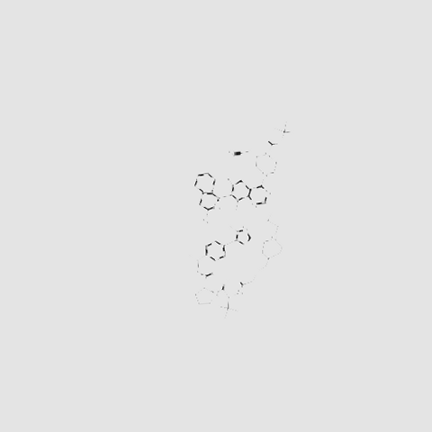 Cc1ncsc1-c1ccc([C@H](C)NC(=O)[C@@H]2C[C@@H](O)CN2C(=O)[C@@H](NC(=O)COCC2CCN(CCOc3nc(N4CCN(C(=O)OC(C)(C)C)[C@@H](CC#N)C4)c4cc(Cl)c(-c5nc(N)cc6ccccc56)c(F)c4n3)CC2)C(C)(C)C)cc1